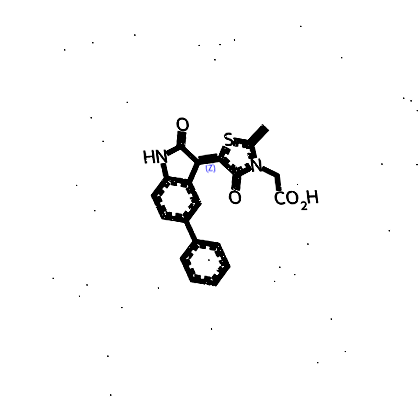 C=c1s/c(=C2\C(=O)Nc3ccc(-c4ccccc4)cc32)c(=O)n1CC(=O)O